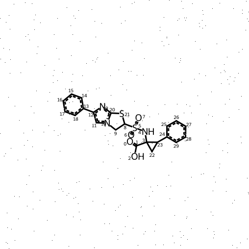 O=C(O)C1(NS(=O)(=O)C2Cn3cc(-c4ccccc4)nc3S2)CC1c1ccccc1